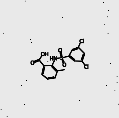 Cc1cccc(C(=O)O)c1NS(=O)(=O)c1cc(Cl)cc(Cl)c1